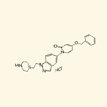 Cl.O=c1cc(OCc2ccccc2)ccn1-c1ccc2c(cnn2CCN2CCNCC2)c1